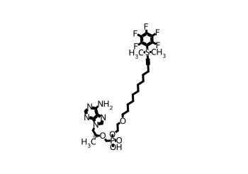 C[C@H](Cn1cnc2c(N)ncnc21)OCP(=O)(O)OCCOCCCCCCCCCCC#CS(C)(C)c1c(F)c(F)c(F)c(F)c1F